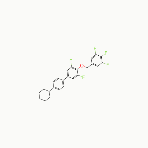 Fc1cc(COc2c(F)cc(-c3ccc(C4CCCCC4)cc3)cc2F)cc(F)c1F